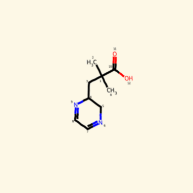 CC(C)(CC1CN=CC=N1)C(=O)O